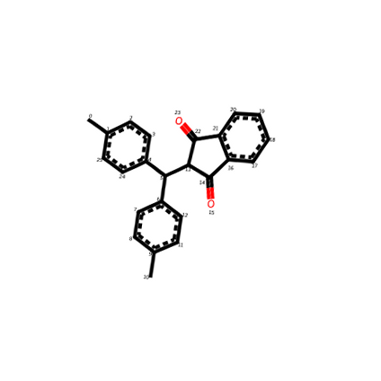 Cc1ccc(C(c2ccc(C)cc2)C2C(=O)c3ccccc3C2=O)cc1